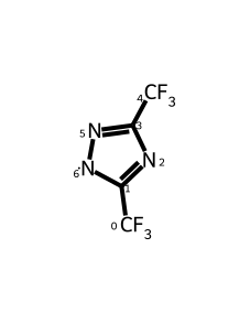 FC(F)(F)C1=NC(C(F)(F)F)=N[N]1